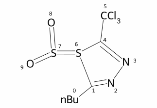 CCCCC1=NN=C(C(Cl)(Cl)Cl)S1=S(=O)=O